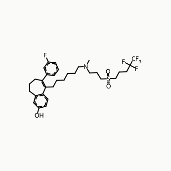 CN(CCCCCCC1=C(c2cccc(F)c2)CCCc2cc(O)ccc21)CCCS(=O)(=O)CCCC(F)(F)C(F)(F)F